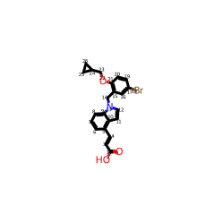 O=C(O)C=Cc1cccc2c1ccn2Cc1cc(Br)ccc1OCC1CC1